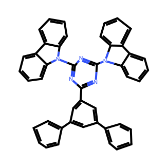 c1ccc(-c2cc(-c3ccccc3)cc(-c3nc(-n4c5ccccc5c5ccccc54)nc(-n4c5ccccc5c5ccccc54)n3)c2)cc1